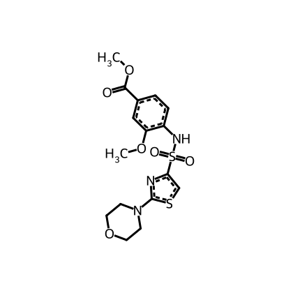 COC(=O)c1ccc(NS(=O)(=O)c2csc(N3CCOCC3)n2)c(OC)c1